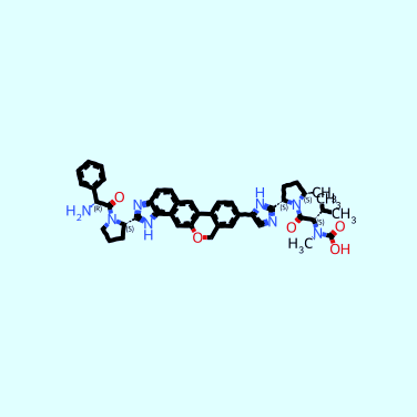 CC(C)[C@@H](C(=O)N1[C@@H](C)CC[C@H]1c1ncc(-c2ccc3c(c2)COc2cc4c(ccc5nc([C@@H]6CCCN6C(=O)[C@H](N)c6ccccc6)[nH]c54)cc2-3)[nH]1)N(C)C(=O)O